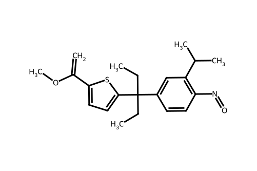 C=C(OC)c1ccc(C(CC)(CC)c2ccc(N=O)c(C(C)C)c2)s1